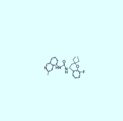 CCC1(CC)C[C@@H](NC(=O)Nc2cccc3cnc(C)cc23)c2cccc(F)c2O1